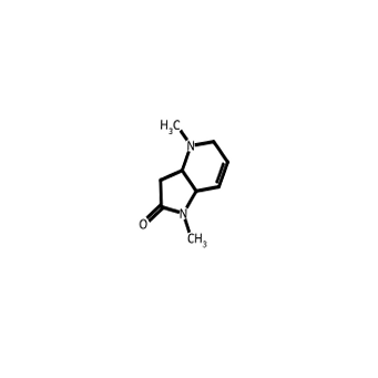 CN1CC=CC2C1CC(=O)N2C